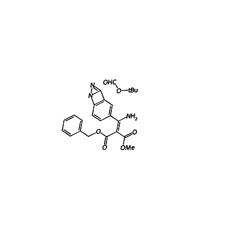 CC(C)(C)OC=O.COC(=O)C(C(=O)OCc1ccccc1)=C(N)c1ccc2c(c1)c1nn2-1